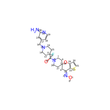 CO/N=C1/CC2(CCN(C(=O)C3(F)CCN(Cc4ccnc(N)c4)CC3)CC2)Oc2ccsc21